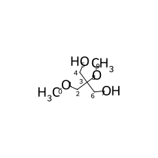 COCC(CO)(CO)OC